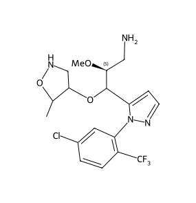 CO[C@@H](CN)C(OC1CNOC1C)c1ccnn1-c1cc(Cl)ccc1C(F)(F)F